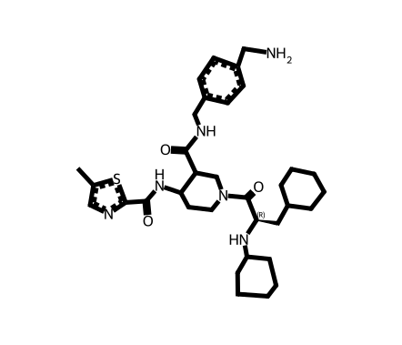 Cc1cnc(C(=O)NC2CCN(C(=O)[C@@H](CC3CCCCC3)NC3CCCCC3)CC2C(=O)NCc2ccc(CN)cc2)s1